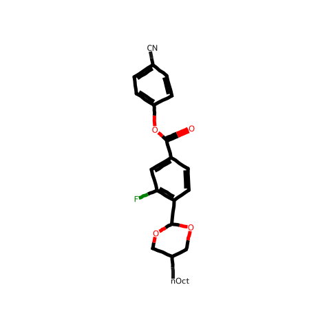 CCCCCCCCC1COC(c2ccc(C(=O)Oc3ccc(C#N)cc3)cc2F)OC1